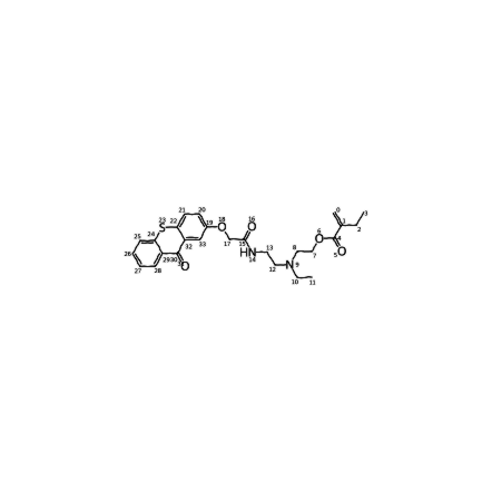 C=C(CC)C(=O)OCCN(CC)CCNC(=O)COc1ccc2sc3ccccc3c(=O)c2c1